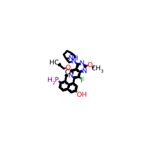 C#CCOc1nc(-c2cc(O)cc3ccc(P)c(C#C)c23)c(F)c2nc(OC)nc(N3CC4CCC(C3)N4)c12